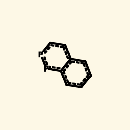 c1ccc2ppccc2c1